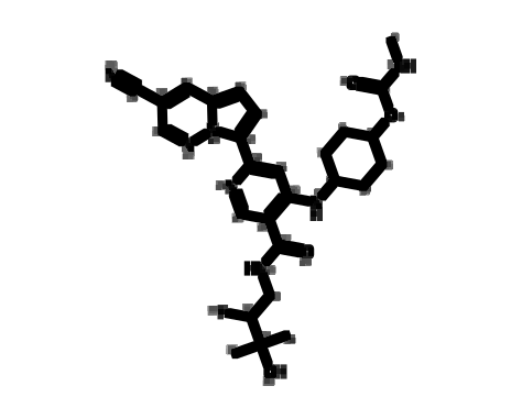 CNC(=O)OC1CCC(Nc2cc(-c3ccc4cc(C#N)cnn34)ncc2C(=O)NCC(F)C(C)(C)O)CC1